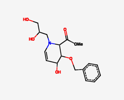 COC(=O)C1C(OCc2ccccc2)C(O)C=CN1CC(O)CO